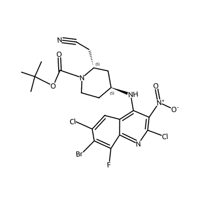 CC(C)(C)OC(=O)N1CC[C@H](Nc2c([N+](=O)[O-])c(Cl)nc3c(F)c(Br)c(Cl)cc23)C[C@H]1CC#N